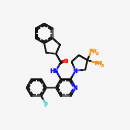 O=C(Nc1c(-c2ccccc2F)ccnc1N1CCC(P)(P)C1)C1Cc2ccccc2C1